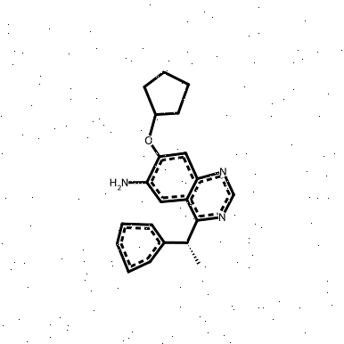 C[C@H](c1ccccc1)c1ncnc2cc(OC3CCCC3)c(N)cc12